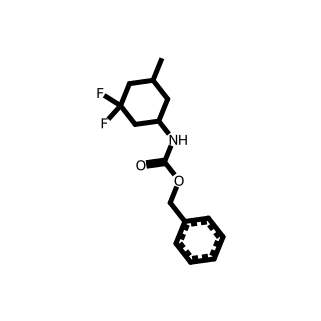 CC1CC(NC(=O)OCc2ccccc2)CC(F)(F)C1